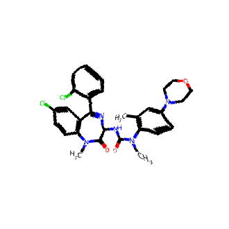 Cc1cc(N2CCOCC2)ccc1N(C)C(=O)NC1N=C(c2ccccc2Cl)c2cc(Cl)ccc2N(C)C1=O